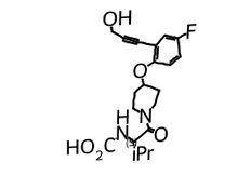 CC(C)[C@H](NC(=O)O)C(=O)N1CCC(Oc2ccc(F)cc2C#CCO)CC1